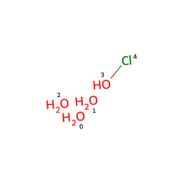 O.O.O.OCl